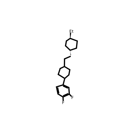 CC[C@H]1CC[C@H](CCC2CCC(c3ccc(F)c(F)c3)CC2)CC1